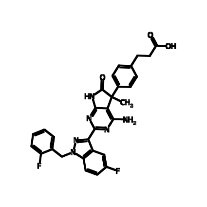 CC1(c2ccc(CCC(=O)O)cc2)C(=O)Nc2nc(-c3nn(Cc4ccccc4F)c4ccc(F)cc34)nc(N)c21